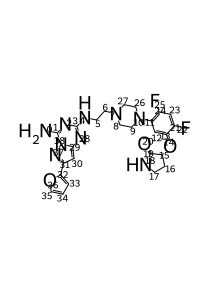 Nc1nc(NCCN2CCN(c3cc(OC4CCNC4=O)c(F)cc3F)CC2)nc2cc(-c3ccco3)nn12